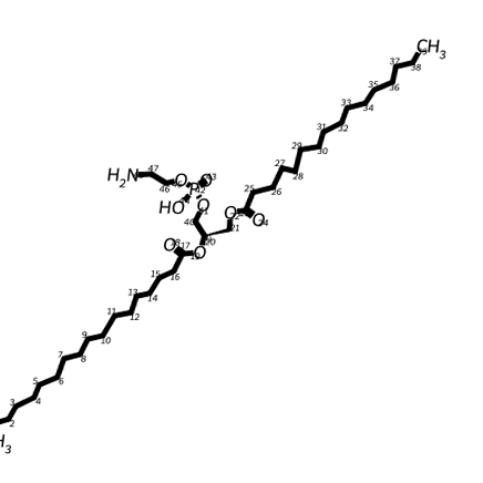 CCCCCCCCCCCCCCCCCC(=O)O[C@H](COC(=O)CCCCCCCCCCCCCCC)COP(=O)(O)OCCN